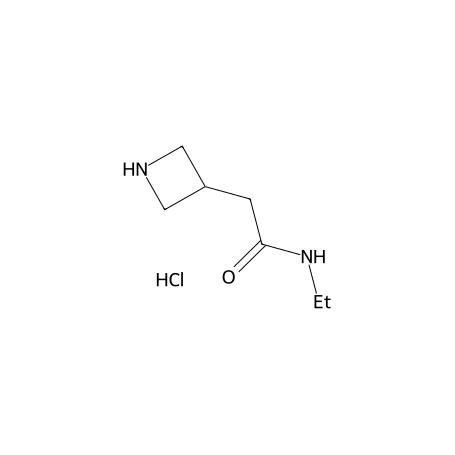 CCNC(=O)CC1CNC1.Cl